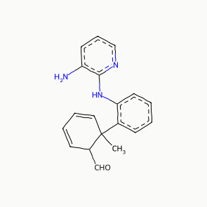 CC1(c2ccccc2Nc2ncccc2N)C=CC=CC1C=O